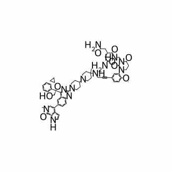 COc1ccc(C#CCNC2(C)CCN(C3CCN(c4nc([C@@](CO)(OC5CC5)c5ccccc5)c5cc(-c6cn(C)c(=O)c7[nH]ccc67)ccc5n4)CC3)CC2)cc1N1CCC(=O)N(CNC(=O)C(CC(N)=O)CC(N)=O)C1=O